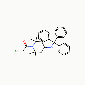 CC1(C)CC(NC(c2ccccc2)(c2ccccc2)c2ccccc2)CC(C)(C)N1C(=O)CCl